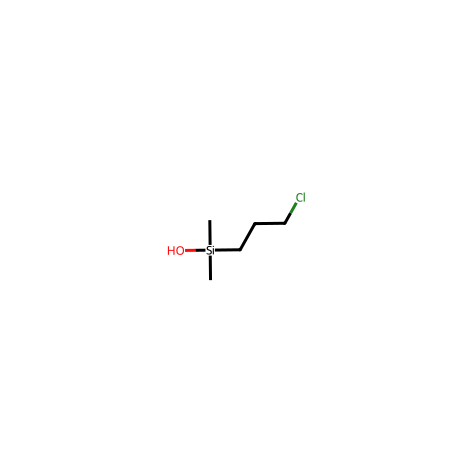 C[Si](C)(O)CCCCl